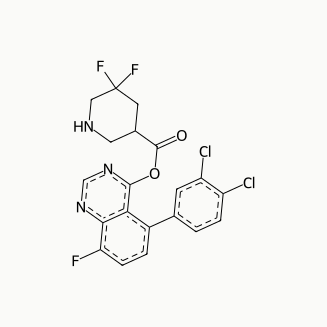 O=C(Oc1ncnc2c(F)ccc(-c3ccc(Cl)c(Cl)c3)c12)C1CNCC(F)(F)C1